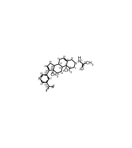 CC(=O)N[C@@H]1CC[C@@]2(C)C(=CCC3C2CC[C@]2(C)C(c4cncc(C(F)F)c4)=CCC32)C1